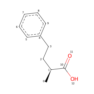 C[C@@H](CCc1ccccc1)C(=O)O